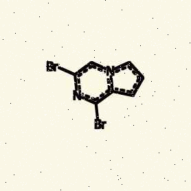 Brc1cn2cccc2c(Br)n1